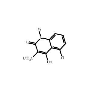 CCOC(=O)c1c(O)c2c(Cl)cccc2n(CC)c1=O